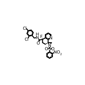 O=C(NCc1ccc(Cl)cc1Cl)[C@]1(F)CC[C@]2(CN2S(=O)(=O)c2ccccc2[N+](=O)[O-])c2ncccc21